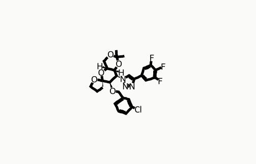 CC1(C)OC[C@H]2O[C@@]3(CCCO3)[C@H](OCc3cccc(Cl)c3)[C@@H](n3cc(-c4cc(F)c(F)c(F)c4)nn3)[C@H]2O1